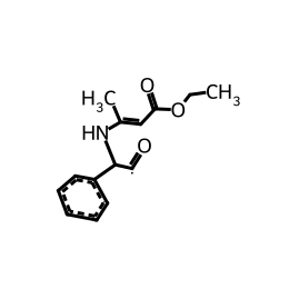 CCOC(=O)C=C(C)NC([C]=O)c1ccccc1